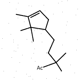 CC(=O)C(C)(C)[CH]CC1CC=C(C)C1(C)C